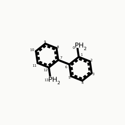 Pc1ccccc1-c1ccccc1P